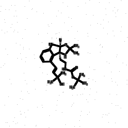 CC(C)(O)/C=C/c1cccc2c1[C@]1(CCNC(=O)OC(C)(C)C)NC(C)(C)O[C@@H]1N2